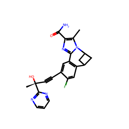 Cc1c(C(N)=O)nc2n1C1CC(C1)c1cc(F)c(C#C[C@@](C)(O)c3ncccn3)cc1-2